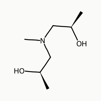 C[C@@H](O)CN(C)C[C@@H](C)O